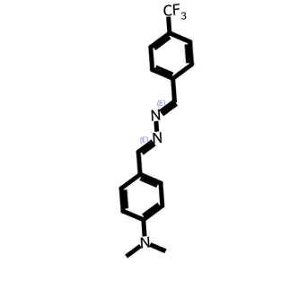 CN(C)c1ccc(/C=N/N=C/c2ccc(C(F)(F)F)cc2)cc1